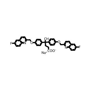 CC(CCC(=O)[O-])(c1ccc(OCc2ccc3cc(F)ccc3n2)cc1)c1ccc(OCc2ccc3cc(F)ccc3n2)cc1.[Na+]